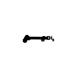 CCCCOC(=O)CCCCCCCCCCCCCOc1cccc2cc3ccccc3cc12